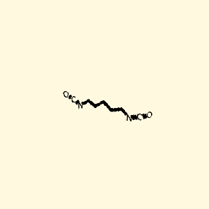 O=C=NCCCCCN=C=O